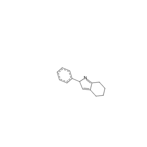 C1=C2CCCCC2=NC1c1ccccc1